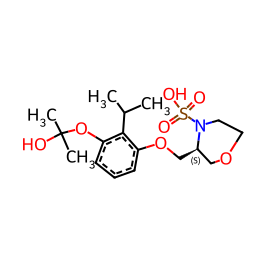 CC(C)c1c(OC[C@@H]2COCCN2S(=O)(=O)O)cccc1OC(C)(C)O